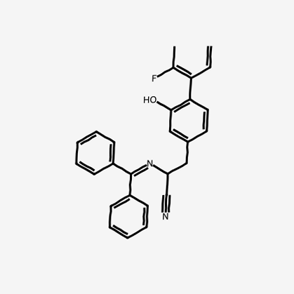 C=CC(=C(C)F)c1ccc(CC(C#N)N=C(c2ccccc2)c2ccccc2)cc1O